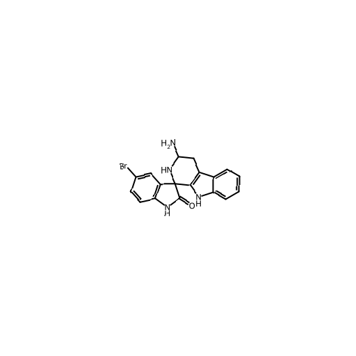 NC1Cc2c([nH]c3ccccc23)C2(N1)C(=O)Nc1ccc(Br)cc12